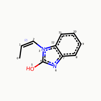 C/C=C\n1c(O)nc2ccccc21